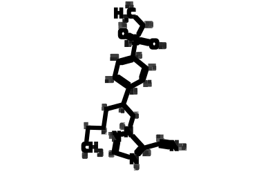 CCCCC(Cn1ncnc1C#N)c1ccc(S(=O)(=O)CC)cc1